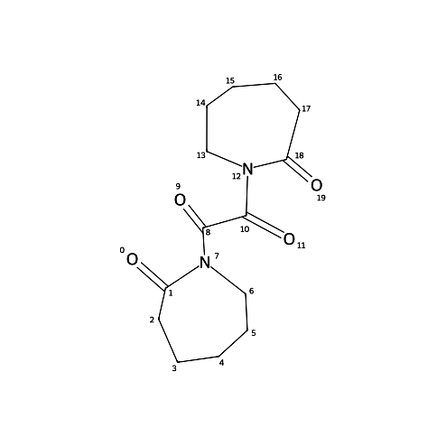 O=C1CCCCCN1C(=O)C(=O)N1CCCCCC1=O